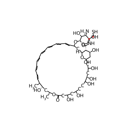 C[C@H]1C[C@H](O)[C@@H](C)/C=C/C=C/C=C/C=C/C=C/C=C/C=C/C(O[C@@H]2OC[C@@H](O)[C@H](N)[C@@H]2O)C[C@@H]2OC(O)(CC(O)C[C@@H](O)C(O)CCC(O)CC(O)CC(=O)O1)C[C@H](O)[C@H]2C(=O)NCCS